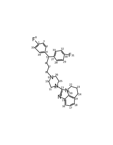 Fc1ccc(C(CCCN2CCN(c3nc4cccc5c4n3CCC5)CC2)c2ccc(F)cc2)cc1